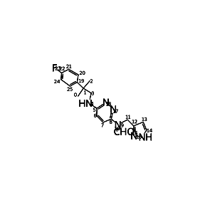 CC(C)(CNc1ccc(N(C=O)Cc2cc[nH]n2)nn1)c1ccc(F)cc1